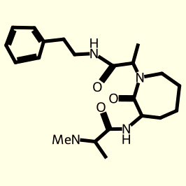 CNC(C)C(=O)NC1CCCCN(C(C)C(=O)NCCc2ccccc2)C1=O